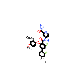 COc1cc(OC(F)(F)F)ccc1Oc1cc(C2CCC(C(F)(F)F)CC2F)cc(F)c1C(=O)Nc1ccnc(C(N)=O)c1